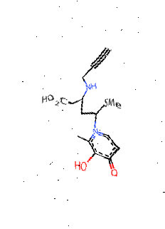 C#CCN[C@@H](CC(SC)n1ccc(=O)c(O)c1C)C(=O)O